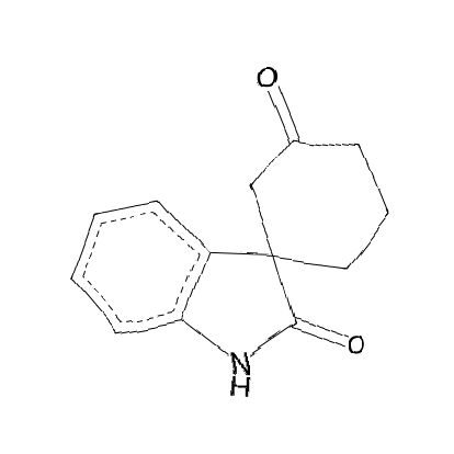 O=C1CCCC2(C1)C(=O)Nc1ccccc12